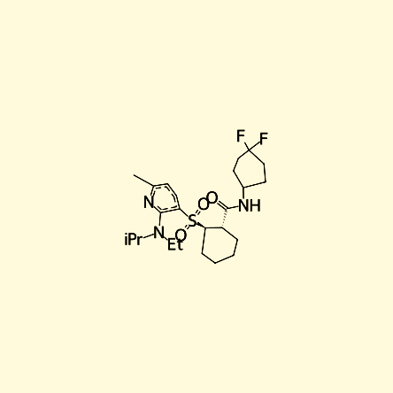 CCN(c1nc(C)ccc1S(=O)(=O)[C@@H]1CCCC[C@H]1C(=O)NC1CCC(F)(F)CC1)C(C)C